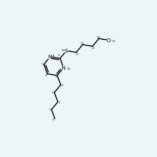 CCCCCc1ccnc(SCCCC[O])n1